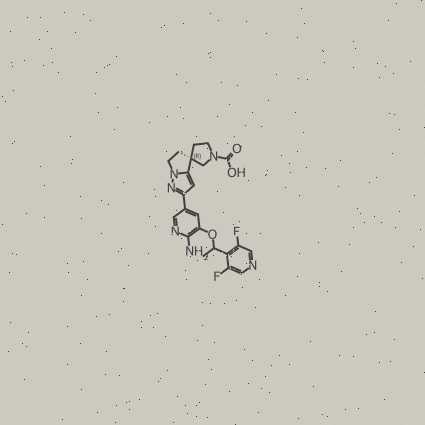 CC(Oc1cc(-c2cc3n(n2)CC[C@@]32CCN(C(=O)O)C2)cnc1N)c1c(F)cncc1F